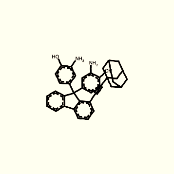 Nc1cc(C2(c3ccc(O)c(N)c3)c3ccccc3-c3cccc(C#CC45CC6CC(CC(C6)C4)C5)c32)ccc1O